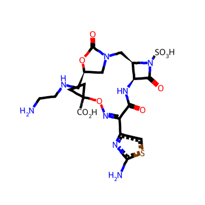 NCCNC[C@@H]1CN(C[C@@H]2[C@H](NC(=O)C(=NOC3(C(=O)O)CC3)c3csc(N)n3)C(=O)N2S(=O)(=O)O)C(=O)O1